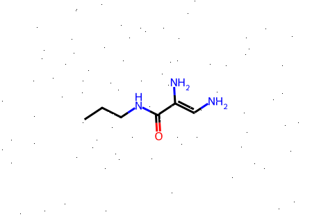 CCCNC(=O)C(N)=CN